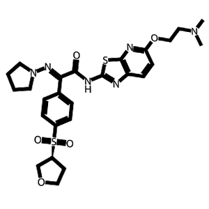 CN(C)CCOc1ccc2nc(NC(=O)/C(=N/N3CCCC3)c3ccc(S(=O)(=O)[C@H]4CCOC4)cc3)sc2n1